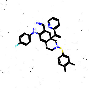 C=C(c1ccccn1)C12CC(C=N)=C(Nc3ccc(F)cc3)C=C1CCN(Sc1ccc(C)c(C)c1)C2